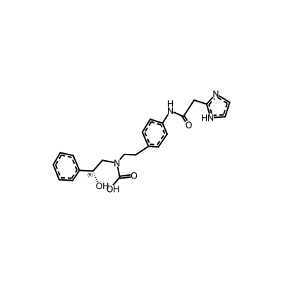 O=C(Cc1ncc[nH]1)Nc1ccc(CCN(C[C@H](O)c2ccccc2)C(=O)O)cc1